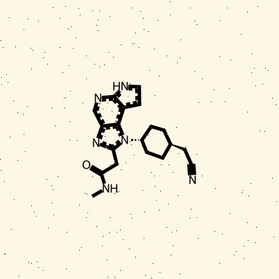 CNC(=O)Cc1nc2cnc3[nH]ccc3c2n1[C@H]1CC[C@H](CC#N)CC1